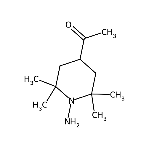 CC(=O)C1CC(C)(C)N(N)C(C)(C)C1